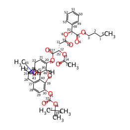 CCCCOC(=O)[C@@H](OC(=O)C[C@H](OC(C)=O)C(=O)OC1=CC[C@@]2(O)[C@H]3Cc4ccc(OC(=O)OC(C)(C)C)c5c4[C@@]2(CCN3C)[C@H]1O5)c1ccccc1